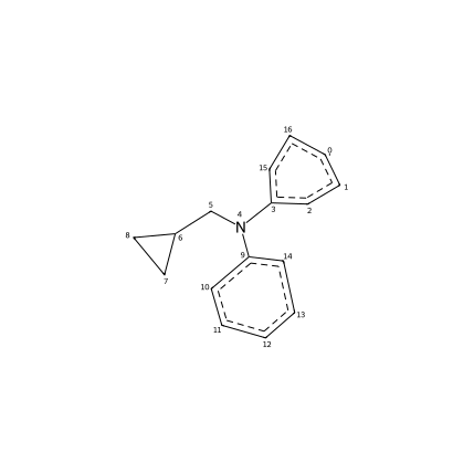 [c]1ccc(N(CC2CC2)c2ccccc2)cc1